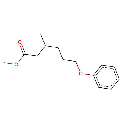 COC(=O)CC(C)CCCOc1ccccc1